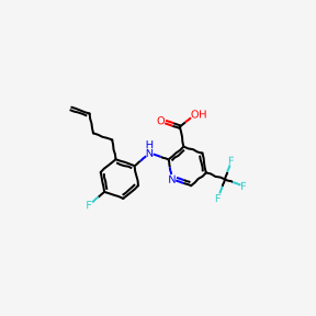 C=CCCc1cc(F)ccc1Nc1ncc(C(F)(F)F)cc1C(=O)O